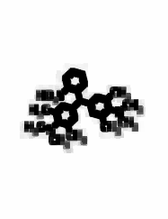 Cc1cc(C(c2cc(C)c(N(C)C)c(C)c2)c2ccccc2S(=O)(=O)O)cc(C)c1N(C)C